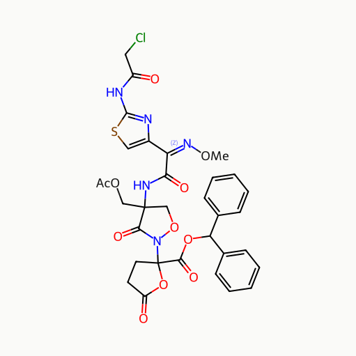 CO/N=C(\C(=O)NC1(COC(C)=O)CON(C2(C(=O)OC(c3ccccc3)c3ccccc3)CCC(=O)O2)C1=O)c1csc(NC(=O)CCl)n1